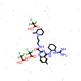 Cc1ccc2nc(C(=O)NCCCN3CCCCC3C)nc(NC3CCCCC3NC(=N)N)c2c1.O=C(O)C(F)(F)F.O=C(O)C(F)(F)F.O=C(O)C(F)(F)F